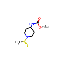 CS(=S)N1CCC(NC(=O)OC(C)(C)C)CC1